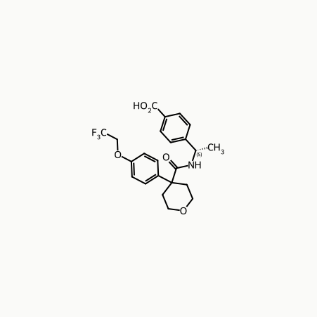 C[C@H](NC(=O)C1(c2ccc(OCC(F)(F)F)cc2)CCOCC1)c1ccc(C(=O)O)cc1